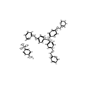 Cc1ccc(S(=O)(=O)[O-])cc1.c1ccc(COc2ccc([S+](c3ccc(OCc4ccccn4)cc3)c3ccc(OCc4ccccn4)cc3)cc2)nc1